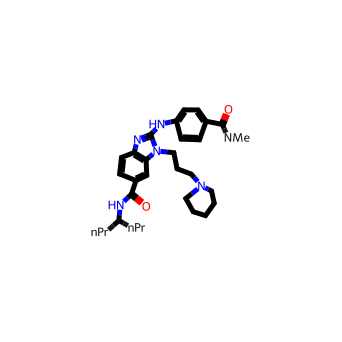 CCCC(CCC)NC(=O)c1ccc2nc(Nc3ccc(C(=O)NC)cc3)n(CCCN3CCCCC3)c2c1